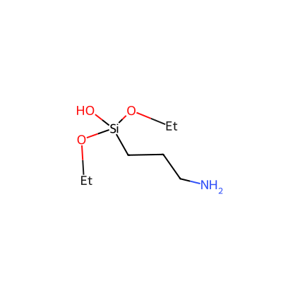 CCO[Si](O)(CCCN)OCC